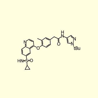 Cc1cc(CC(=O)Nc2cnn(C(C)(C)C)c2)ccc1Oc1ccnc2ccc(S(=N)(=O)C3CC3)cc12